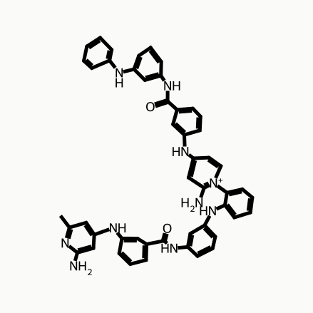 Cc1cc(Nc2cccc(C(=O)Nc3cccc(Nc4ccccc4-[n+]4ccc(Nc5cccc(C(=O)Nc6cccc(Nc7ccccc7)c6)c5)cc4N)c3)c2)cc(N)n1